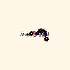 COc1ccc(OC(=O)N(CC(=O)O)Cc2ccc(C=C=Cc3nc(-c4ccccc4)oc3C)cc2)cc1